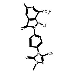 CCn1c2c(C(=O)O)nc(C)cc2c(=O)n1-c1ccc(-n2c(C#N)nn(C)c2=O)cc1